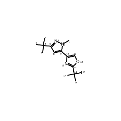 Cn1nc(C(C)(C)C)cc1-c1coc(C(C)(I)I)n1